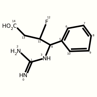 N=C(N)NC(c1ccccc1)C(F)CC(=O)O